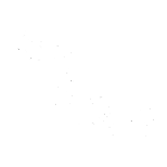 Cc1cc(Nc2ncnc3cc4c(nc23)N2CCN(C(=O)/C=C/[C@H]3CCCN3C)[C@H](CO4)C2)ccc1Oc1ccn2ncnc2c1